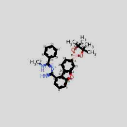 CN/C(=N\C(=N)c1cccc2oc3cc(B4OC(C)(C)C(C)(C)O4)ccc3c12)c1ccccc1